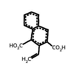 C=Cc1c(C(=O)O)cc2ccccc2c1C(=O)O